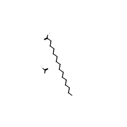 CCCCCCCCCCCCCCCC(=O)O.NC(=O)O